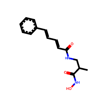 CC(CNC(=O)C=CC=Cc1ccccc1)C(=O)NO